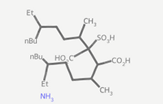 CCCCC(CC)CCC(C)C(C(=O)O)C(C(=O)O)(C(C)CCC(CC)CCCC)S(=O)(=O)O.N